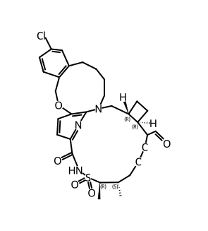 C[C@@H]1[C@@H](C)CCCC(C=O)[C@@H]2CC[C@H]2CN2CCCCc3cc(Cl)ccc3COc3ccc(nc32)C(=O)NS1(=O)=O